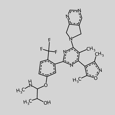 CNC(Oc1ccc(C(F)(F)F)c(-c2nc(-c3c(C)noc3C)c(C)c(N3Cc4cncnc4C3)n2)c1)C(C)O